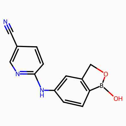 N#Cc1ccc(Nc2ccc3c(c2)COB3O)nc1